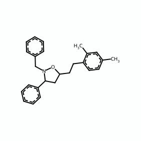 Cc1ccc(CCC2CC(c3ccccc3)N(Cc3ccccc3)O2)c(C)c1